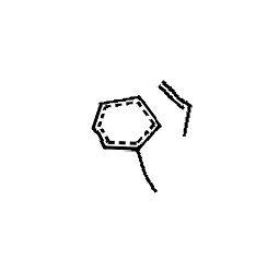 C=CC.Cc1ccccc1